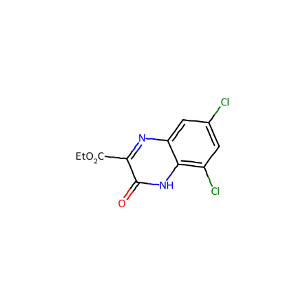 CCOC(=O)c1nc2cc(Cl)cc(Cl)c2[nH]c1=O